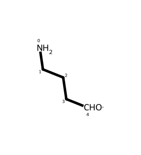 NCCC[C]=O